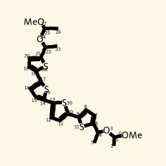 COC(C)OC(C)c1ccc(-c2ccc(-c3ccc(-c4ccc(C(C)OC(C)OC)s4)s3)s2)s1